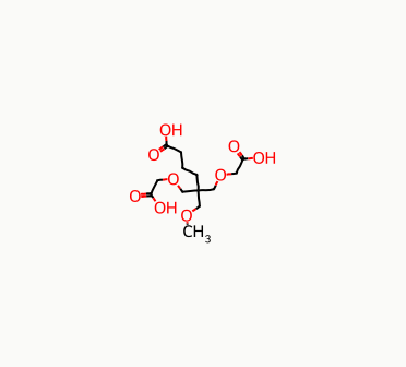 COCC(CCCC(=O)O)(COCC(=O)O)COCC(=O)O